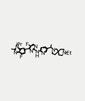 CCN1CCC2(CC1)CCN(C(C)c1ccc(Nc3ncc(F)c(-c4cc(F)c5nc(C)n(C(C)C)c5c4)n3)nc1)C2